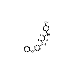 N#Cc1ccc(NC(=O)[C@H](F)C(=O)Nc2ccc(Oc3ccccc3)cc2)cc1